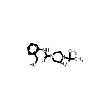 CC(C)(C)N1CCN(C(=O)Nc2ccccc2CO)CC1